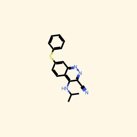 CC(C)Nc1c(C#N)nnc2cc(Sc3ccccc3)ccc12